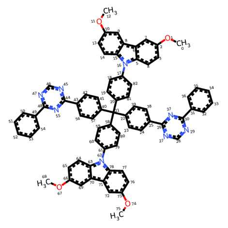 COc1ccc2c(c1)c1cc(OC)ccc1n2-c1ccc(C(c2ccc(-c3ncnc(-c4ccccc4)n3)cc2)(c2ccc(-c3ncnc(-c4ccccc4)n3)cc2)c2ccc(-n3c4ccc(OC)cc4c4cc(OC)ccc43)cc2)cc1